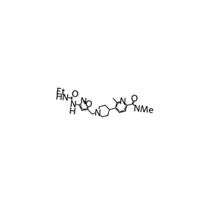 CCNC(=O)Nc1cc(CN2CCC(c3ccc(C(=O)NC)nc3C)CC2)on1